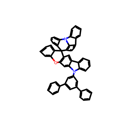 c1ccc(-c2cc(-c3ccccc3)cc(-n3c4ccccc4c4cc5c(cc43)Oc3ccccc3C53c4ccccc4-n4c5ccccc5c5cccc3c54)c2)cc1